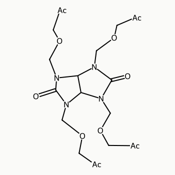 CC(=O)COCN1C(=O)N(COCC(C)=O)C2C1N(COCC(C)=O)C(=O)N2COCC(C)=O